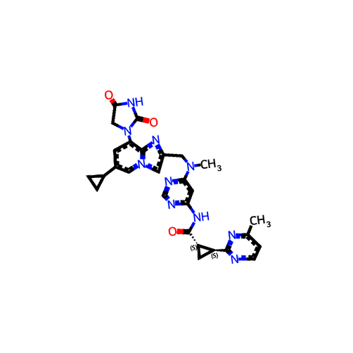 Cc1ccnc([C@H]2C[C@@H]2C(=O)Nc2cc(N(C)Cc3cn4cc(C5CC5)cc(N5CC(=O)NC5=O)c4n3)ncn2)n1